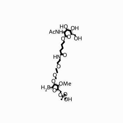 B[C@@H]1O[C@H](COP(C)(=O)O)[C@@H](OC)[C@H]1OCOCCOCCNC(=O)CCCCO[C@@H]1O[C@H](CO)[C@H](O)[C@H](O)[C@H]1NC(C)=O